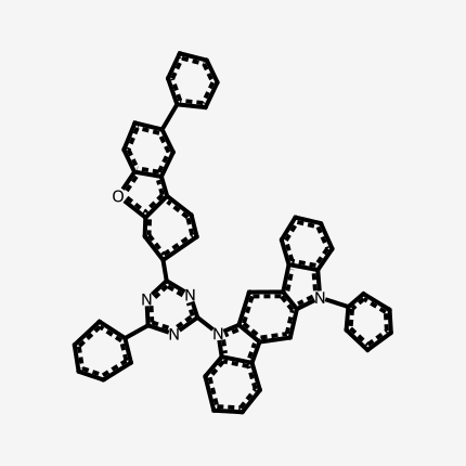 c1ccc(-c2ccc3oc4cc(-c5nc(-c6ccccc6)nc(-n6c7ccccc7c7cc8c(cc76)c6ccccc6n8-c6ccccc6)n5)ccc4c3c2)cc1